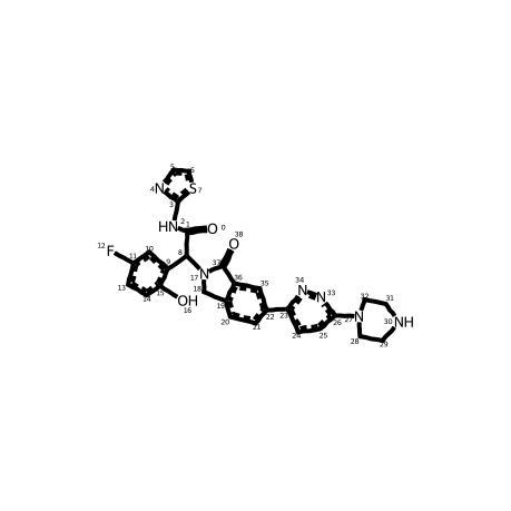 O=C(Nc1nccs1)C(c1cc(F)ccc1O)N1Cc2ccc(-c3ccc(N4CCNCC4)nn3)cc2C1=O